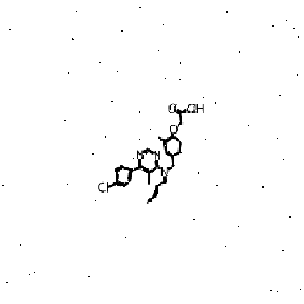 CCCCN(Cc1ccc(OCC(=O)O)c(C)c1)c1ncnc(-c2ccc(Cl)cc2)c1C